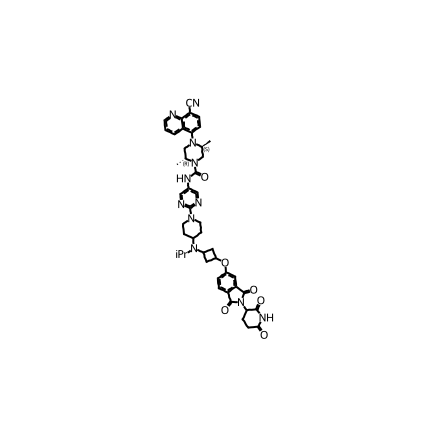 CC(C)N(C1CCN(c2ncc(NC(=O)N3C[C@H](C)N(c4ccc(C#N)c5ncccc45)C[C@H]3C)cn2)CC1)C1CC(Oc2ccc3c(c2)C(=O)N(C2CCC(=O)NC2=O)C3=O)C1